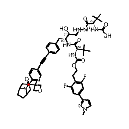 Cn1ccc(-c2cc(F)c(CCOC(=O)N[C@H](C(=O)N[C@@H](Cc3ccc(C#Cc4ccc(N5CC6CCC(C5)N6C(=O)C5(C)COC5)nc4)cc3)[C@@H](O)CNNC(=O)[C@@H](NC(=O)O)C(C)(C)C)C(C)(C)C)c(F)c2)n1